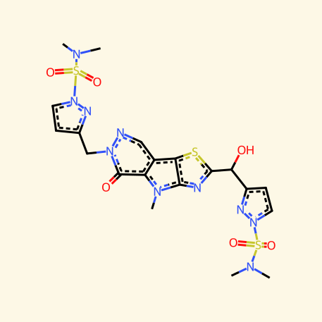 CN(C)S(=O)(=O)n1ccc(Cn2ncc3c4sc(C(O)c5ccn(S(=O)(=O)N(C)C)n5)nc4n(C)c3c2=O)n1